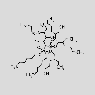 CCCCCCO[Si](OCCCCCC)(OCCCCCC)C(CC(N)C(N)CC)[Si](OCC(CC)CCCC)(OCC(CC)CCCC)OCC(CC)CCCC